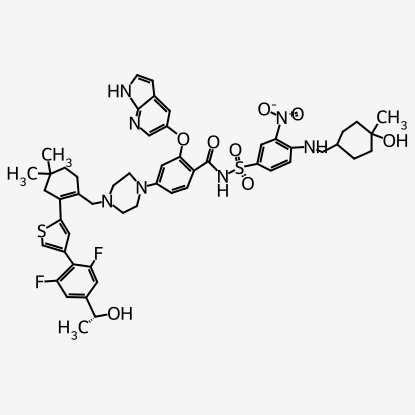 C[C@@H](O)c1cc(F)c(-c2csc(C3=C(CN4CCN(c5ccc(C(=O)NS(=O)(=O)c6ccc(NCC7CCC(C)(O)CC7)c([N+](=O)[O-])c6)c(Oc6cnc7[nH]ccc7c6)c5)CC4)CCC(C)(C)C3)c2)c(F)c1